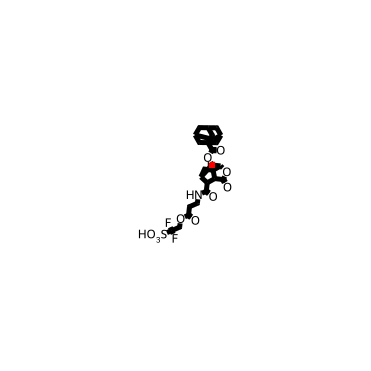 O=C(CCNC(=O)C1C2C[C@@H]3C(OC(=O)C13)C2OC(=O)C12CC3CC(CC(C3)C1)C2)OCC(F)(F)S(=O)(=O)O